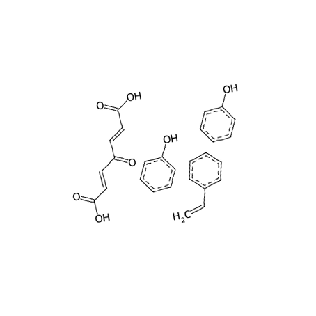 C=Cc1ccccc1.O=C(O)C=CC(=O)C=CC(=O)O.Oc1ccccc1.Oc1ccccc1